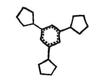 c1c(C2CCCC2)cc(C2CCCC2)cc1C1CCCC1